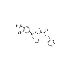 Nc1ccc(N(CC2CCC2)C2CCN(C(=O)CCc3ccccc3)C2)cc1Cl